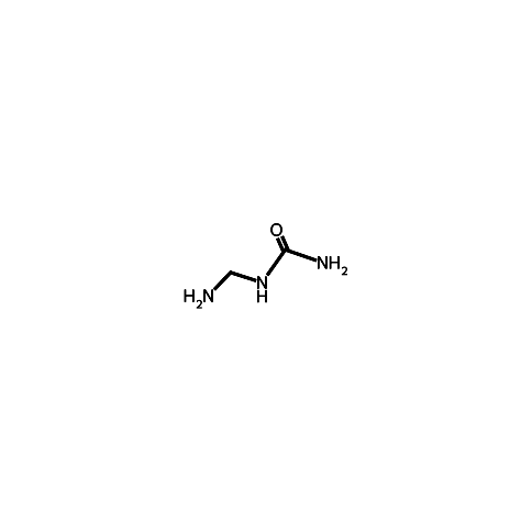 NCNC(N)=O